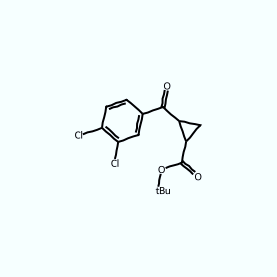 CC(C)(C)OC(=O)C1CC1C(=O)c1ccc(Cl)c(Cl)c1